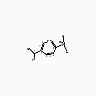 C=C(/C=C\C(=C/C)C(C)C)N(C)C